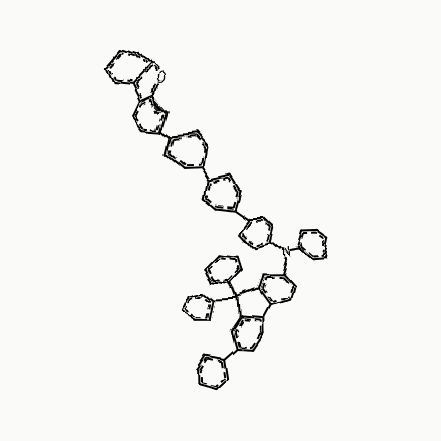 c1ccc(-c2ccc3c(c2)C(c2ccccc2)(c2ccccc2)c2cc(N(c4ccccc4)c4ccc(-c5ccc(-c6ccc(-c7ccc8c(c7)oc7ccccc78)cc6)cc5)cc4)ccc2-3)cc1